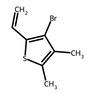 C=Cc1sc(C)c(C)c1Br